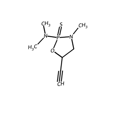 C#CC1CN(C)P(=S)(N(C)C)O1